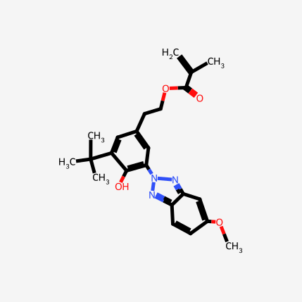 C=C(C)C(=O)OCCc1cc(-n2nc3ccc(OC)cc3n2)c(O)c(C(C)(C)C)c1